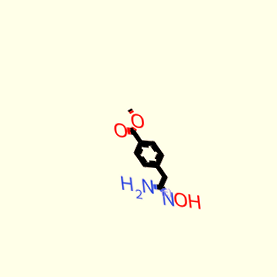 COC(=O)c1ccc(C/C(N)=N\O)cc1